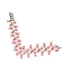 O=S(=O)(O)O.O=S(=O)(O)O.O=S(=O)(O)O.O=S(=O)(O)O.O=S(=O)(O)O.O=S(=O)(O)O.O=S(=O)(O)O.O=S(=O)(O)O.O=S(=O)(O)O.O=S(=O)(O)O.[Cu].[Cu].[Cu].[Cu].[Cu]